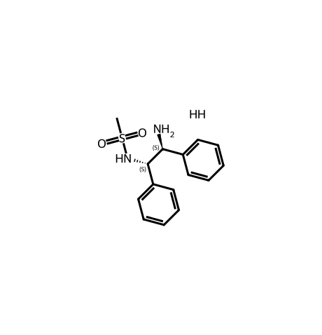 CS(=O)(=O)N[C@@H](c1ccccc1)[C@@H](N)c1ccccc1.[HH]